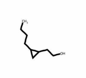 CCCCC1CC1CCO